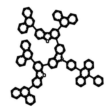 c1ccc(-c2c3ccccc3c(-c3ccc(-n4c5ccc(-c6cc(-c7cc8ccccc8c8ccccc78)cc7c6oc6ccc(-c8cc9ccccc9c9ccccc89)cc67)cc5c5cc(-c6cc(-c7cc8ccccc8c8ccccc78)cc7c6oc6ccc(-c8cc9ccccc9c9ccccc89)cc67)ccc54)cc3)c3ccccc23)cc1